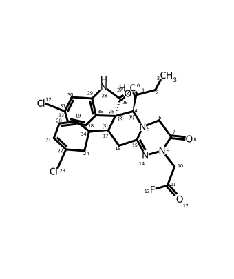 C=C(CC)[C@H]1N2CC(=O)N(CC(=O)F)N=C2C[C@@H](C2C=CC=C(Cl)C2)[C@]12C(=O)Nc1cc(Cl)ccc12